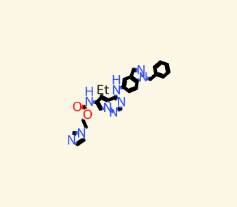 CCc1c(NC(=O)OCCn2ccnc2)cn2ncnc(Nc3ccc4c(cnn4Cc4ccccc4)c3)c12